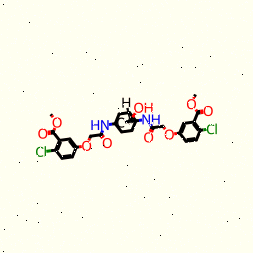 COC(=O)c1cc(OCC(=O)NC23CCC(NC(=O)COc4ccc(Cl)c(C(=O)OC)c4)(CC2)[C@@H](O)C3)ccc1Cl